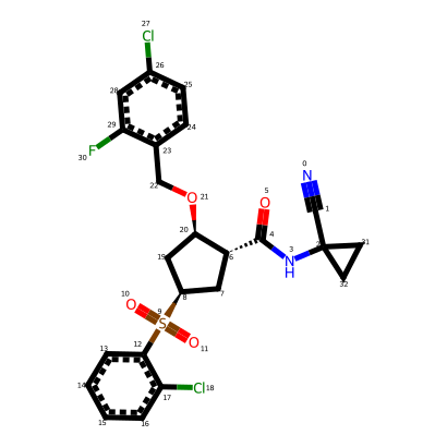 N#CC1(NC(=O)[C@@H]2C[C@@H](S(=O)(=O)c3ccccc3Cl)C[C@H]2OCc2ccc(Cl)cc2F)CC1